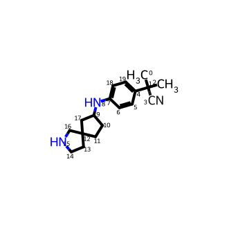 CC(C)(C#N)c1ccc(NC2CCC3(CCNC3)C2)cc1